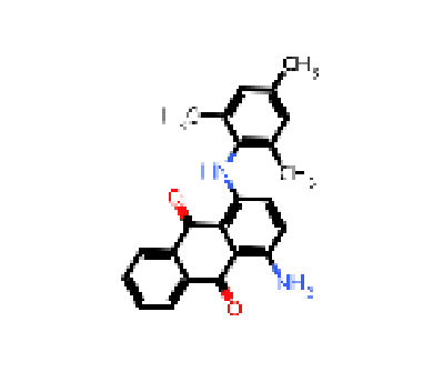 Cc1cc(C)c(Nc2ccc(N)c3c2C(=O)c2ccccc2C3=O)c(C)c1